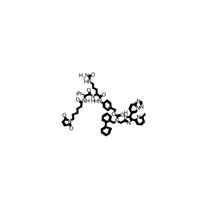 Cc1cccc(-c2nc(CN(Cc3ccccc3-c3ccccc3)C(=O)OCc3ccc(NC(=O)C(CCCNC(N)=O)NC(=O)[C@@H](NC(=O)CCCCCN4C(=O)C=CC4=O)C(C)C)cc3)[nH]c2-c2ccc3ncnn3c2)n1